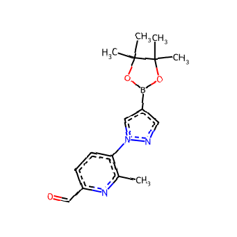 Cc1nc(C=O)ccc1-n1cc(B2OC(C)(C)C(C)(C)O2)cn1